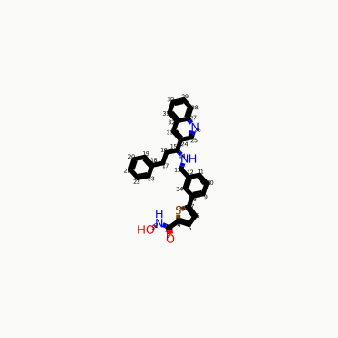 O=C(NO)c1ccc(-c2cccc(CNC(CCc3ccccc3)c3cnc4ccccc4c3)c2)s1